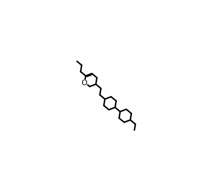 CCCC1=CCC(CCC2CCC(C3CCC(CC)CC3)CC2)CO1